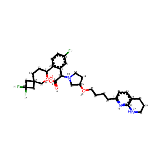 O=C(O)C(c1cc(F)ccc1C1CCC2(CO1)CC(F)(F)C2)N1CCC(OCCCCc2ccc3c(n2)NCCC3)C1